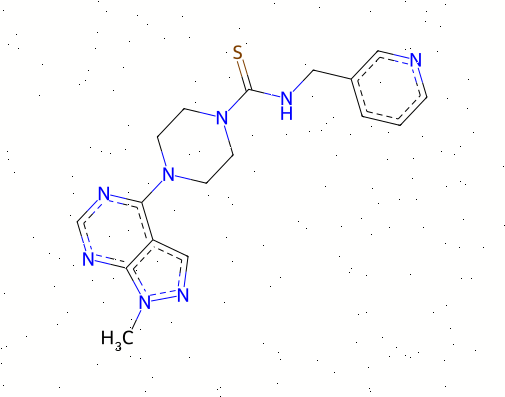 Cn1ncc2c(N3CCN(C(=S)NCc4cccnc4)CC3)ncnc21